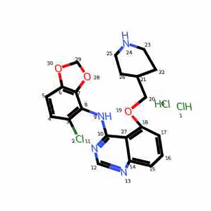 Cl.Cl.Clc1ccc2c(c1Nc1ncnc3cccc(OCC4CCNCC4)c13)OCO2